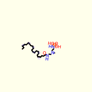 CC/C=C\C/C=C\C/C=C\C/C=C\C/C=C\C/C=C\CCC(=O)NCCN(C)CCNP(=O)(O)O